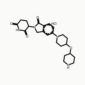 Cl.O=C1CCC(N2Cc3cc(N4CCC(OC5CCNCC5)CC4)ccc3C2=O)C(=O)N1